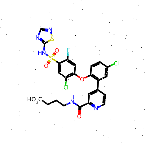 O=C(O)CCCNC(=O)c1cc(-c2cc(Cl)ccc2Oc2cc(F)c(S(=O)(=O)Nc3ncns3)cc2Cl)ccn1